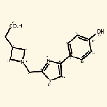 O=C(O)CC1CN(Cc2nc(-c3ccc(O)cc3)cs2)C1